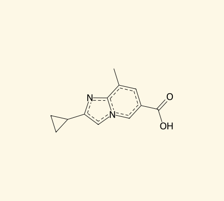 Cc1cc(C(=O)O)cn2cc(C3CC3)nc12